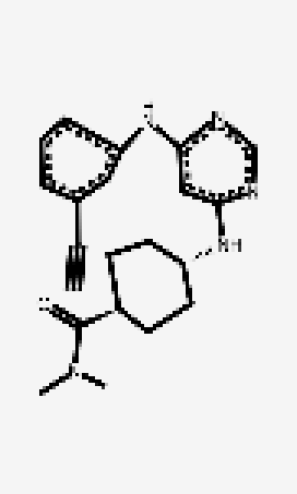 C#Cc1cccc(Nc2cc(N[C@H]3CC[C@H](C(=O)N(C)C)CC3)ncn2)c1